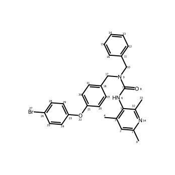 Cc1cc(C)c(NC(=O)N(Cc2ccccc2)Cc2ccc(Oc3ccc(Br)cc3)cc2)c(C)n1